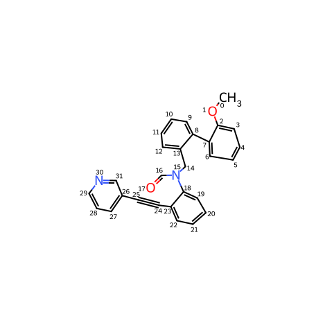 COc1ccccc1-c1ccccc1CN(C=O)c1ccccc1C#Cc1cccnc1